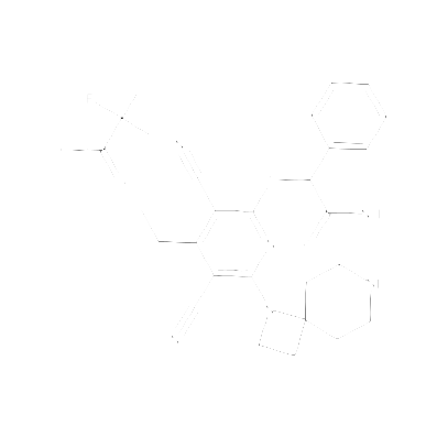 CCc1c(C#N)c(SC(C(N)=O)c2ccccc2)nc(N2CCC23CCNCC3)c1C#N.O=C(O)C(F)(F)F